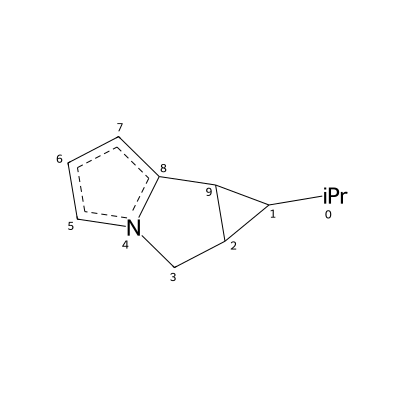 CC(C)C1C2Cn3cccc3C21